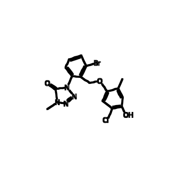 Cc1cc(O)c(Cl)cc1OCc1c(Br)cccc1-n1nnn(C)c1=O